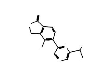 Cc1c(-c2cncc(C(F)F)n2)ccc2c1COC2=O